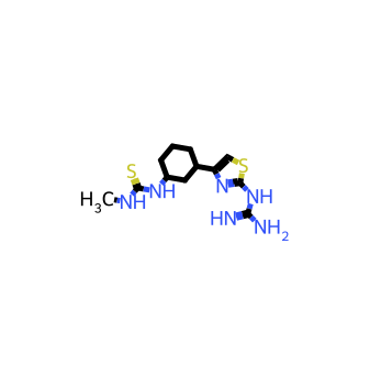 CNC(=S)NC1CCCC(c2csc(NC(=N)N)n2)C1